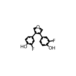 Oc1ccc(-c2cocc2-c2ccc(O)c(F)c2)cc1F